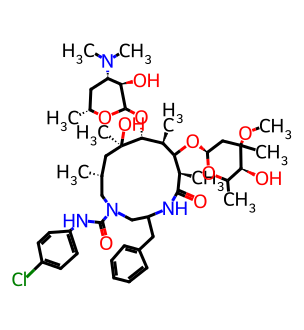 COC1(C)C[C@H](OC2[C@@H](C)C(=O)NC(Cc3ccccc3)CN(C(=O)Nc3ccc(Cl)cc3)C[C@H](C)C[C@@](C)(O)[C@H](OC3O[C@H](C)C[C@H](N(C)C)[C@H]3O)[C@H]2C)OC(C)[C@@H]1O